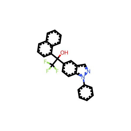 OC(c1ccc2c(cnn2-c2ccccc2)c1)(c1cccc2ccccc12)C(F)(F)F